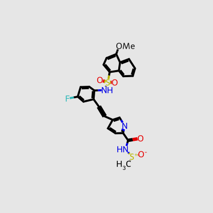 COc1ccc(S(=O)(=O)Nc2ccc(F)cc2C#Cc2ccc(C(=O)N[S+](C)[O-])nc2)c2ccccc12